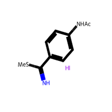 CSC(=N)c1ccc(NC(C)=O)cc1.I